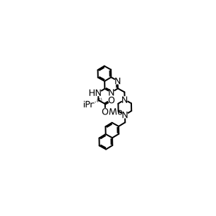 COC(=O)[C@@H](Nc1nc(CN2CCN(Cc3ccc4ccccc4c3)CC2)nc2ccccc12)C(C)C